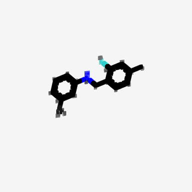 Cc1ccc(CNc2cccc(C(F)(F)F)c2)c(F)c1